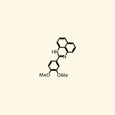 COc1ccc(C2=Nc3cccc4cccc(c34)N2)cc1OC